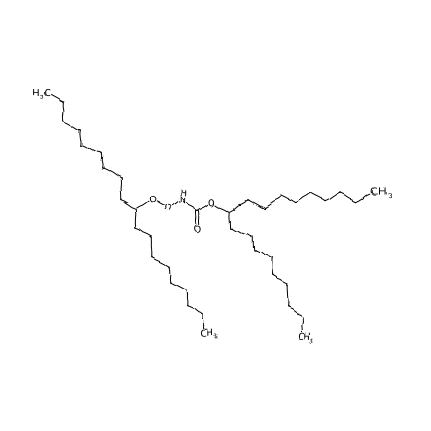 CCCCCCCCCC(CCCCCCCCC)OONC(=O)OC(CCCCCCCCC)CCCCCCCCC